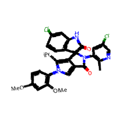 COc1ccc(-n2cc3c(c2C(C)C)C2(C(=O)Nc4cc(Cl)ccc42)N(c2cc(Cl)cnc2C)C3=O)c(OC)c1